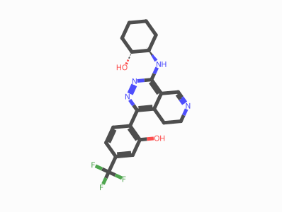 Oc1cc(C(F)(F)F)ccc1-c1nnc(N[C@@H]2CCCC[C@H]2O)c2c1CCN=C2